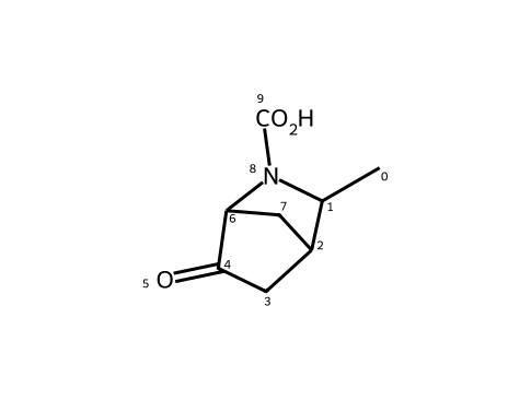 CC1C2CC(=O)C(C2)N1C(=O)O